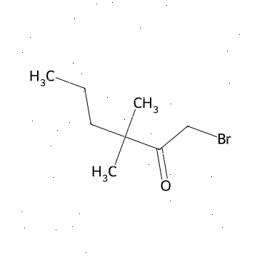 CCCC(C)(C)C(=O)CBr